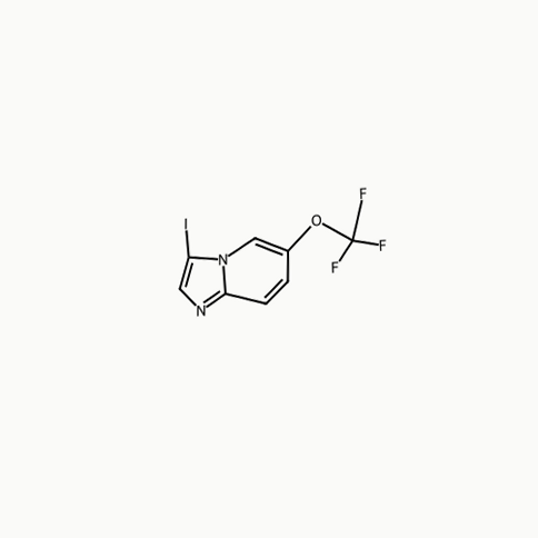 FC(F)(F)Oc1ccc2ncc(I)n2c1